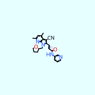 Cc1cc(C)c2c(C#N)c(/C=C/C(=O)Nc3cccnc3)n(CC3CCCO3)c2n1